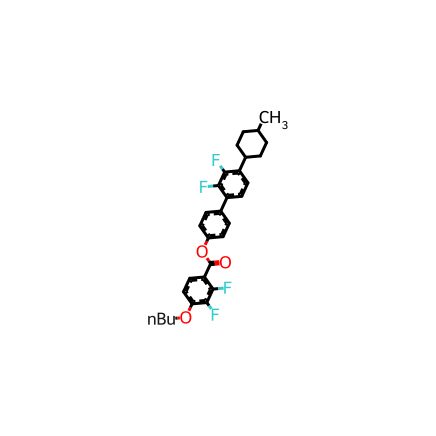 CCCCOc1ccc(C(=O)Oc2ccc(-c3ccc(C4CCC(C)CC4)c(F)c3F)cc2)c(F)c1F